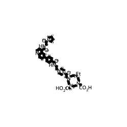 CCN1CCN(CC(=O)O)CCN(CC(=O)O)CCN(CC(=O)N2CCN(CCNC(=O)c3ccc(-c4ccc5nccc(C(=O)NCC(=O)N6CCCC6)c5c4)cc3)CC2)CC1